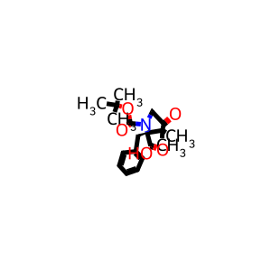 CC(C)(C)OC(=O)N1CC(=O)C(C)(C)[C@]1(Cc1ccccc1)C(=O)O